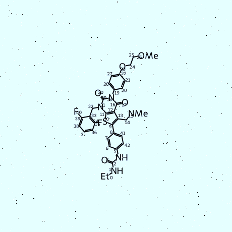 CCNC(=O)Nc1ccc(-c2sc3c(c2CNC)c(=O)n(-c2ccc(OCCOC)cc2)c(=O)n3Cc2c(F)cccc2F)cc1